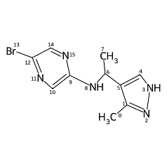 Cc1n[nH]cc1C(C)Nc1cnc(Br)cn1